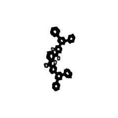 O=c1c2ccc(-c3cc(-c4ccccc4)cc(-c4ccccc4)c3)cc2oc2c1ccc1oc3cc(-c4cc(-c5ccccc5)cc(-c5ccccc5)c4)ccc3c(=O)c12